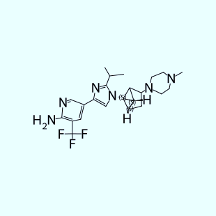 CC(C)c1nc(-c2cnc(N)c(C(F)(F)F)c2)cn1[C@@]12C3C(N4CCN(C)CC4)C[C@H]1[C@@H]32